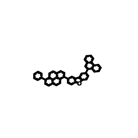 c1ccc(-c2ccc3ccc4c(-c5ccc6oc7ccc(-c8cc9ccccc9c9ccccc89)cc7c6c5)ccc5ccc2c3c54)cc1